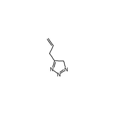 C=CCC1=NN=NC1